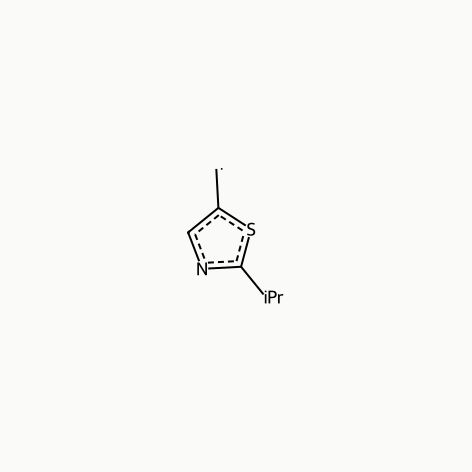 [CH2]c1cnc(C(C)C)s1